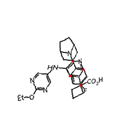 CCOc1ncc(Nc2cc(C3(C(=O)O)CCC3)cnc2N2C3CCC2CC(c2ccc(F)cc2)C3)cn1